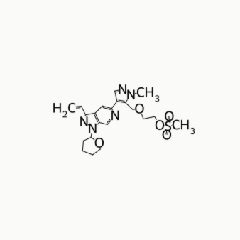 C=Cc1nn(C2CCCCO2)c2cnc(-c3cnn(C)c3COCCOS(C)(=O)=O)cc12